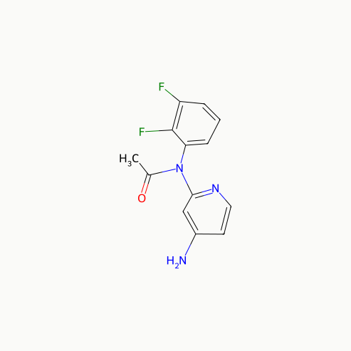 CC(=O)N(c1cc(N)ccn1)c1cccc(F)c1F